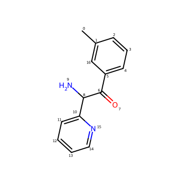 Cc1cccc(C(=O)C(N)c2ccccn2)c1